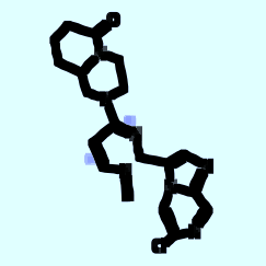 C=N/C=C\C(=N/Cc1cnc2cnc(Cl)cn12)N1CCN2C(=O)CCCC2C1